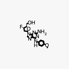 COc1ccc(Nc2nc(N)nc3c2ncn3C2C[C@H](F)[C@@H](CO)O2)cc1